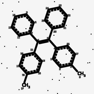 Cc1ccc(C(=C(c2ccccc2)c2ccc(C)cc2)c2ccccc2)cc1